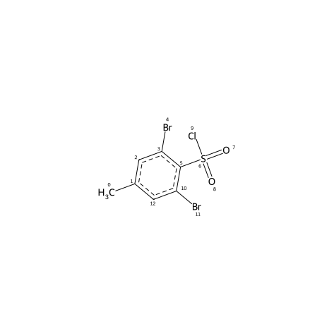 Cc1cc(Br)c(S(=O)(=O)Cl)c(Br)c1